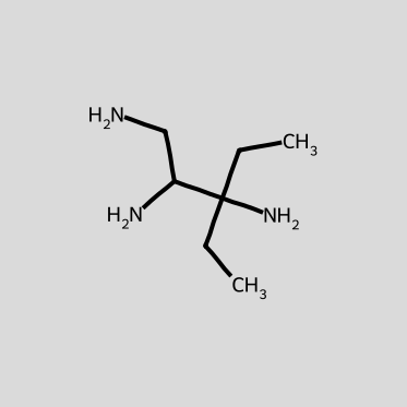 CCC(N)(CC)C(N)CN